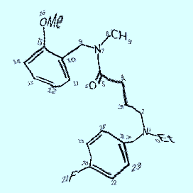 CCN(CCCC(=O)N(C)Cc1ccccc1OC)c1ccc(F)cc1